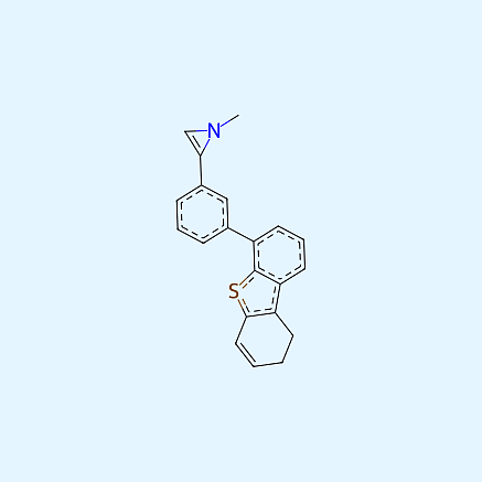 CN1C=C1c1cccc(-c2cccc3c4c(sc23)C=CCC4)c1